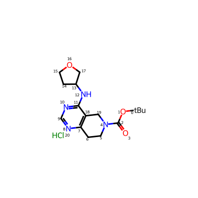 CC(C)(C)OC(=O)N1CCc2ncnc(NC3CCOC3)c2C1.Cl